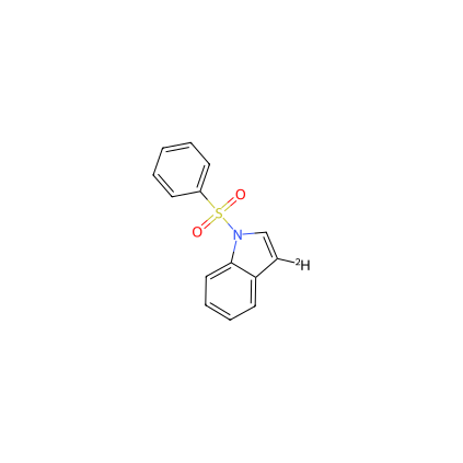 [2H]c1cn(S(=O)(=O)c2ccccc2)c2ccccc12